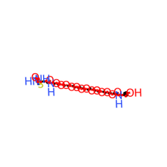 O=C(CCCCC1SCC2NC(=O)NC21)NCCOCCOCCOCCOCCOCCOCCOCCOCCOCCOCCOCCOCCC(=O)NCCc1ccc(O)cc1